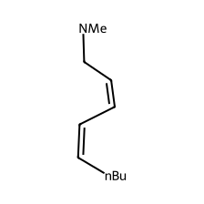 CCCC/C=C\C=C/CNC